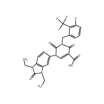 CCn1c(=O)n(CC)c2cc(-n3cc(C(=O)O)c(=O)n(Cc4cccc(F)c4C(F)(F)F)c3=O)ccc21